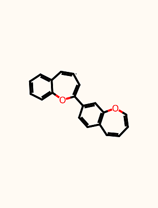 [C]1=Cc2ccccc2OC(c2ccc3c(c2)OC=CC=C3)=C1